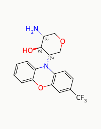 N[C@@H]1COC[C@H](N2c3ccccc3Oc3cc(C(F)(F)F)ccc32)[C@H]1O